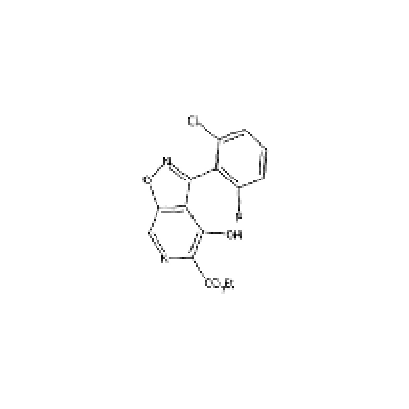 CCOC(=O)c1ncc2onc(-c3c(F)cccc3Cl)c2c1O